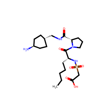 CCCCC[C@@H](NS(=O)(=O)CC(=O)O)C(=O)N1CCC[C@H]1C(=O)NC[C@H]1CC[C@H](N)CC1